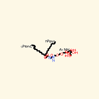 CCCCC/C=C\C/C=C\CCCCCCCCC1(CCCCCCCC/C=C\C/C=C\CCCCC)OC[C@H](CN(C)CC(=O)NCCOCCOCCO[C@@H]2O[C@H](CO)[C@H](O)C(O)C2NC(C)=O)O1